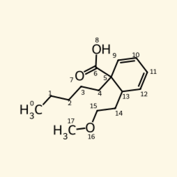 CCCCCC1(C(=O)O)C=CC=CC1CCOC